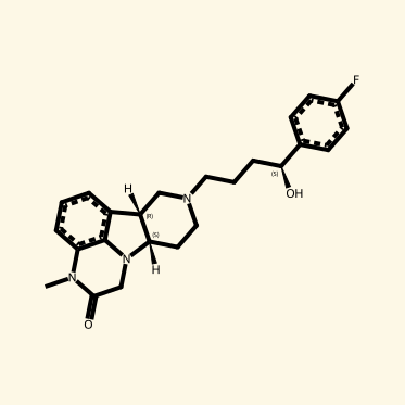 CN1C(=O)CN2c3c(cccc31)[C@@H]1CN(CCC[C@H](O)c3ccc(F)cc3)CC[C@@H]12